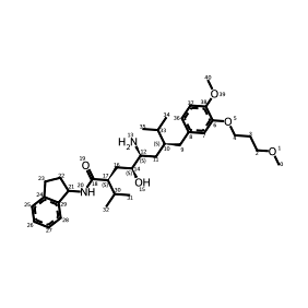 COCCCOc1cc(C[C@@H](C[C@H](N)[C@@H](O)C[C@H](C(=O)NC2CCc3ccccc32)C(C)C)C(C)C)ccc1OC